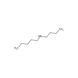 [CH2]CCCCNCCC[CH2]